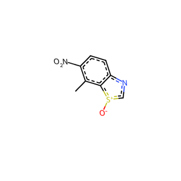 Cc1c([N+](=O)[O-])ccc2nc[s+]([O-])c12